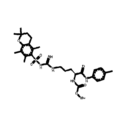 Cc1ccc(NC(=O)[C@H](CCCNC(=N)NS(=O)(=O)c2c(C)c(C)c3c(c2C)CCC(C)(C)O3)NC(=O)OC(C)(C)C)cc1